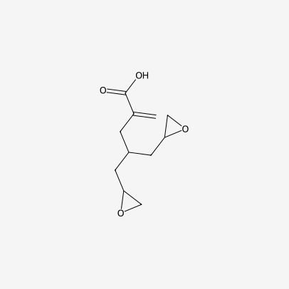 C=C(CC(CC1CO1)CC1CO1)C(=O)O